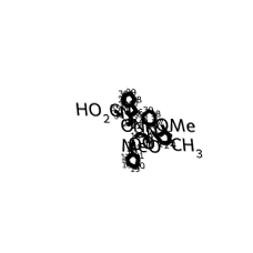 COc1cc(C)cc(OC)c1N(C(=O)C(COCc1ccccc1)NC(=O)c1cc2ccccc2n1CC(=O)O)C1CCCCC1